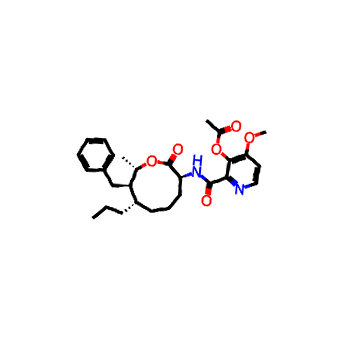 CCC[C@H]1CCC[C@H](NC(=O)c2nccc(OC)c2OC(C)=O)C(=O)O[C@@H](C)[C@@H]1Cc1ccccc1